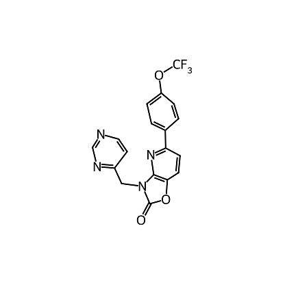 O=c1oc2ccc(-c3ccc(OC(F)(F)F)cc3)nc2n1Cc1ccncn1